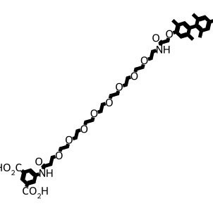 Cc1cc(C)c(-c2cc(C)c(OCC(=O)NCCOCCOCCOCCOCCOCCOCCOCCOCCC(=O)Nc3cc(C(=O)O)cc(C(=O)O)c3)cc2C)c(C)c1